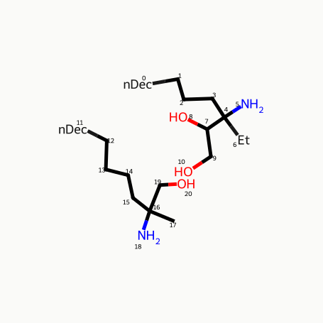 CCCCCCCCCCCCCC(N)(CC)C(O)CO.CCCCCCCCCCCCCCC(C)(N)CO